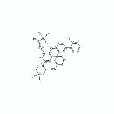 NC1=N[C@@]2(COC1)c1cc(-c3cccnc3F)ccc1Oc1c2cc(N2CCC(F)(F)CC2)nc1F.O=C(O)C(F)(F)F